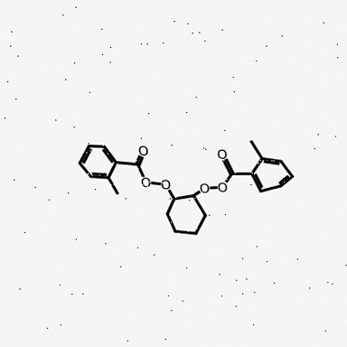 Cc1ccccc1C(=O)OO[C]1CCC[CH]C1OOC(=O)c1ccccc1C